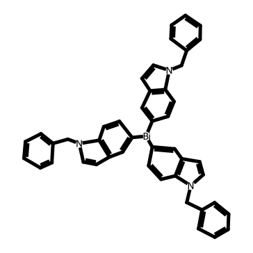 c1ccc(Cn2ccc3c[c]([Bi]([c]4ccc5c(ccn5Cc5ccccc5)c4)[c]4ccc5c(ccn5Cc5ccccc5)c4)ccc32)cc1